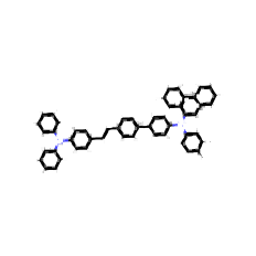 Cc1ccc(N(c2ccc(-c3ccc(/C=C/c4ccc(N(c5ccccc5)c5ccccc5)cc4)cc3)cc2)c2cc3ccccc3c3ccccc23)cc1